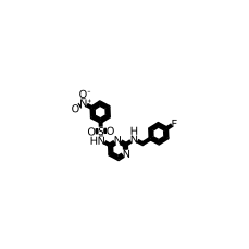 O=[N+]([O-])c1cccc(S(=O)(=O)Nc2ccnc(NCc3ccc(F)cc3)n2)c1